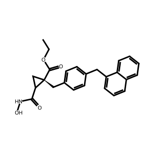 CCOC(=O)[C@@]1(Cc2ccc(Cc3cccc4ccccc34)cc2)CC1C(=O)NO